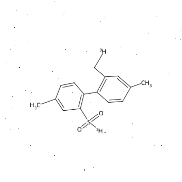 [3H]Cc1cc(C)ccc1-c1ccc(C)cc1S([3H])(=O)=O